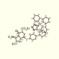 CCOC(=O)c1cn(Cc2ccc(-c3ccccc3-c3nnnn3C(c3ccccc3)(c3ccccc3)c3ccccc3)cc2)c2sc(CC)c([N+](=O)[O-])c2c1=O